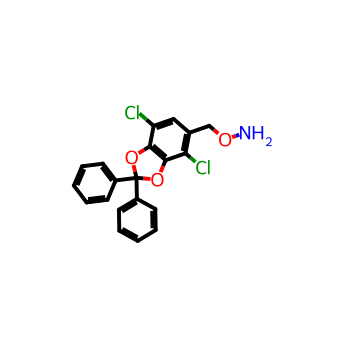 NOCc1cc(Cl)c2c(c1Cl)OC(c1ccccc1)(c1ccccc1)O2